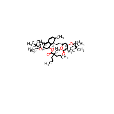 CCCC(C)(CCC)C(=O)O[C@H]1C[C@H](O[Si](C)(C)C(C)(C)C)C=C2C=C[C@H](C)[C@H](CC[C@@H]3C[C@@H](O[Si](C)(C)C(C)(C)C)CC(=O)O3)[C@H]21